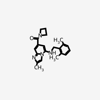 Cc1cn2c(NCc3c(C)cccc3C)cc(C(=O)N3CCC3)cc2n1